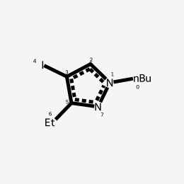 CCCCn1cc(I)c(CC)n1